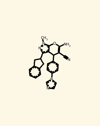 Cn1nc(C2Cc3ccccc3C2)c2c1OC(N)=C(C#N)C2c1ccc(-n2ccnc2)cc1